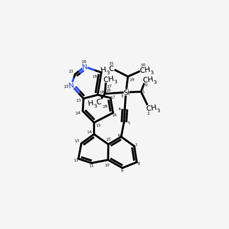 CC(C)[Si](C#Cc1cccc2cccc(-c3ccc4cncnc4c3)c12)(C(C)C)C(C)C